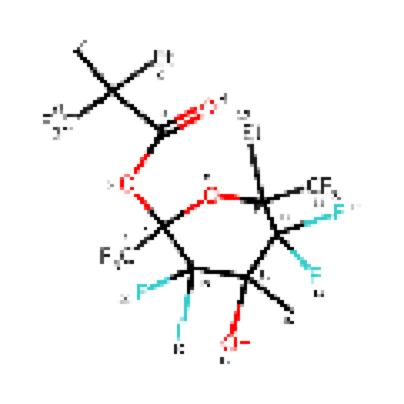 CCC(C)(C(=O)OC1(C(F)(F)F)OC(CC)(C(F)(F)F)C(F)(F)C(C)(O)C1(F)F)C(F)(F)F